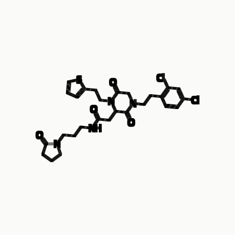 O=C(CC1C(=O)N(CCc2ccc(Cl)cc2Cl)CC(=O)N1CCc1cccs1)NCCCN1CCCC1=O